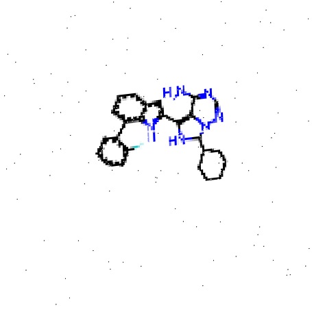 NC1=NC=NN2C1=C(c1cc3cccc(-c4ccccc4F)c3[nH]1)NC2C1CCCCC1